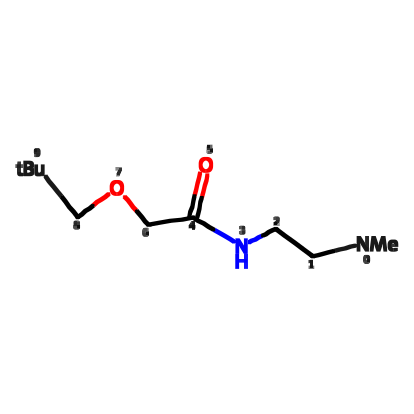 CNCCNC(=O)COCC(C)(C)C